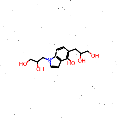 OCC(O)Cc1ccc2c(ccn2CC(O)CO)c1O